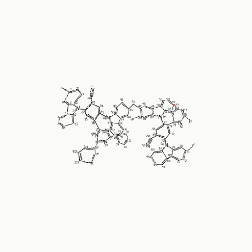 Cc1ccc2c(c1)c1ccccc1n2-c1cc(-c2nc(-c3ccccc3)nc(-c3ccccc3)n2)c(-n2c3ccccc3c3cc(Cc4cc5c6ccccc6n(-c6cc(C#N)c(-n7c8ccccc8c8ccc(C)cc87)cc6-c6nc(C)nc(C)n6)c5cc4C)ccc32)cc1C#N